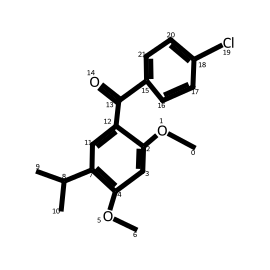 COc1cc(OC)c(C(C)C)cc1C(=O)c1ccc(Cl)cc1